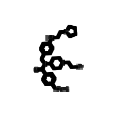 CCCCCc1ccc(C(=O)N(Cc2ccc(NCCN3CCCC3)cc2)C2CCN(CCC(C)C)CC2)cc1